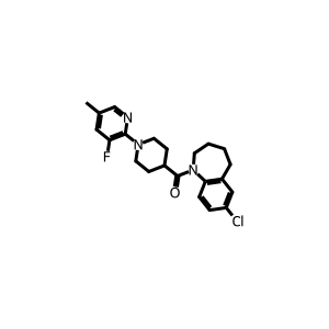 Cc1cnc(N2CCC(C(=O)N3CCCCc4cc(Cl)ccc43)CC2)c(F)c1